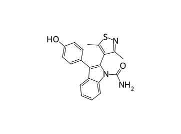 Cc1nsc(C)c1-c1c(-c2ccc(O)cc2)c2ccccc2n1C(N)=O